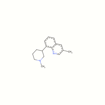 Cc1cnc2c(C3CCCN(C)C3)cccc2c1